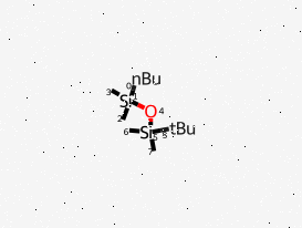 CCCC[Si](C)(C)O[Si](C)(C)C(C)(C)C